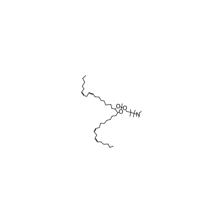 CCCCC/C=C\C/C=C\CCCCCCCC1OC(C)(OCC(C)(C)C(C)(C)N(C)C)OC1CCCCCCC/C=C\C/C=C\CCCCC